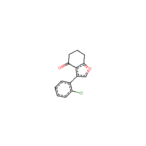 O=C1CCCc2occ(-c3ccccc3Cl)c21